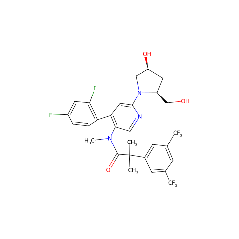 CN(C(=O)C(C)(C)c1cc(C(F)(F)F)cc(C(F)(F)F)c1)c1cnc(N2C[C@@H](O)C[C@H]2CO)cc1-c1ccc(F)cc1F